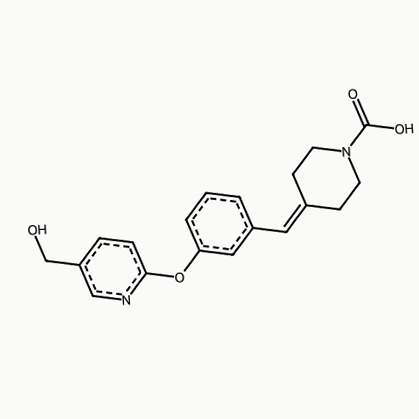 O=C(O)N1CCC(=Cc2cccc(Oc3ccc(CO)cn3)c2)CC1